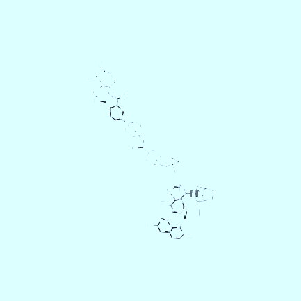 C#Cc1c(F)ccc2cc(O)cc(-c3ncc4c(N5CC6CCC(C5)N6)nc(OCC5(CN6CCC(C(=O)CN7CCN(c8ccc9c(c8)C(=O)N(C8CCC(=O)NC8=O)C9=O)CC7)CC6)CC5)nc4c3F)c12